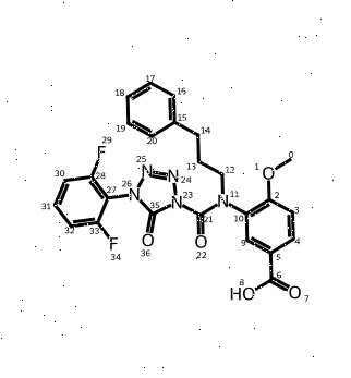 COc1ccc(C(=O)O)cc1N(CCCc1ccccc1)C(=O)n1nnn(-c2c(F)cccc2F)c1=O